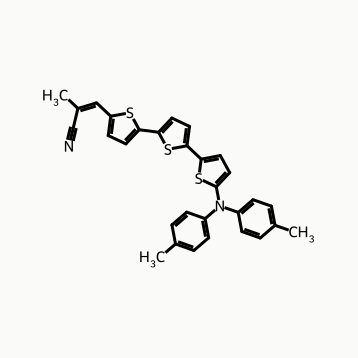 C/C(C#N)=C/c1ccc(-c2ccc(-c3ccc(N(c4ccc(C)cc4)c4ccc(C)cc4)s3)s2)s1